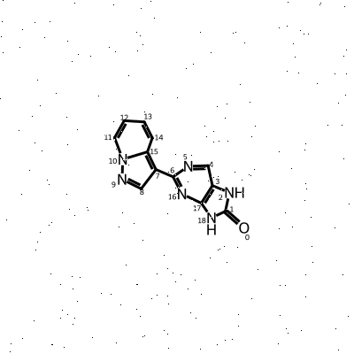 O=c1[nH]c2cnc(-c3cnn4ccccc34)nc2[nH]1